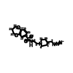 [N-]=[N+]=NCC1CCN(CCNS(=O)(=O)c2ccc3c(c2)OCCCO3)CC1